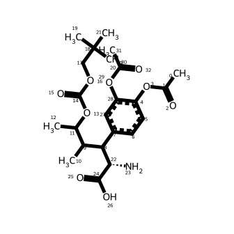 CC(=O)Oc1ccc(C(C(C)C(C)OC(=O)OCC(C)(C)C)[C@H](N)C(=O)O)cc1OC(C)=O